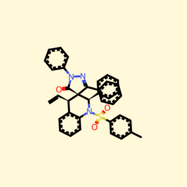 C=C[C@@H]1c2ccccc2N(S(=O)(=O)c2ccc(C)cc2)[C@H](c2ccccc2)[C@]12C(=O)N(c1ccccc1)N=C2c1ccccc1